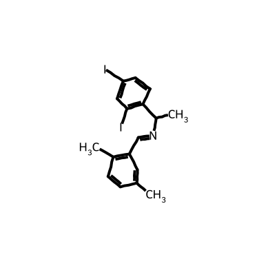 Cc1ccc(C)c(C=NC(C)c2ccc(I)cc2I)c1